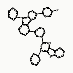 Brc1ccc(-c2ccc3c(c2)c2c(-c4cccc(-c5nc(-c6ccccc6)c6sc7ccccc7c6n5)c4)cccc2n3-c2ccccc2)cc1